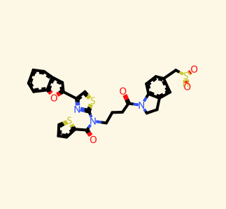 O=C(c1cccs1)N(CCCC(=O)N1CCc2cc(C[SH](=O)=O)ccc21)c1nc(-c2cc3ccccc3o2)cs1